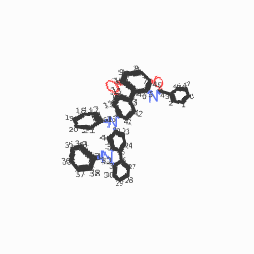 c1ccc(-c2nc3c(ccc4oc5cc(N(c6ccccc6)c6ccc7c8ccccc8n(-c8ccccc8)c7c6)ccc5c43)o2)cc1